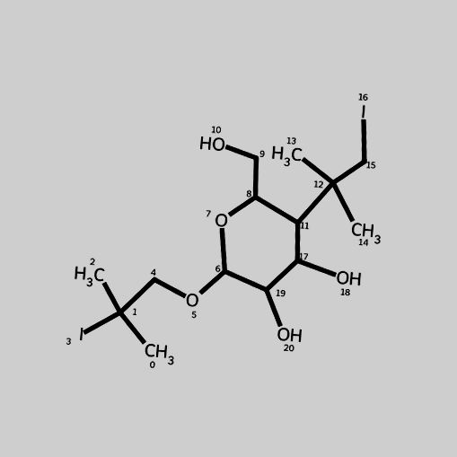 CC(C)(I)COC1OC(CO)C(C(C)(C)CI)C(O)C1O